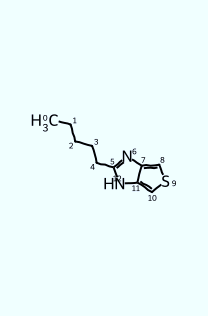 CCCCCc1nc2cscc2[nH]1